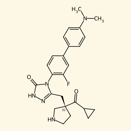 CN(C)c1ccc(-c2ccc(-n3c(C[C@@]4(C(=O)C5CC5)CCNC4)n[nH]c3=O)c(F)c2)cc1